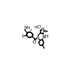 Cc1ccc2c(c1)Nc1c(cnn1C)CN2C(=O)c1ccc(CN)c(F)c1.Cl